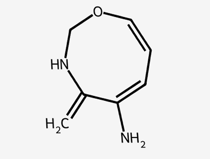 C=C1NCOC=C/C=C\1N